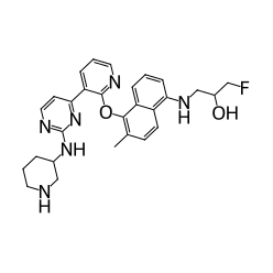 Cc1ccc2c(NCC(O)CF)cccc2c1Oc1ncccc1-c1ccnc(NC2CCCNC2)n1